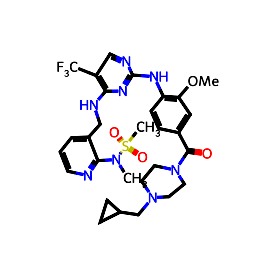 COc1cc(C(=O)N2CCN(CC3CC3)CC2)ccc1Nc1ncc(C(F)(F)F)c(NCc2cccnc2N(C)S(C)(=O)=O)n1